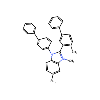 Cc1ccc2c(c1)[n+](C)c(-c1cc(-c3ccccc3)ccc1C)n2-c1ccc(-c2ccccc2)cc1